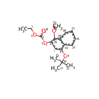 CCOC(=O)Oc1cc(OC(C)(C)C)c2ccccc2c1OC